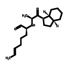 C/C=C/CCC[C@@H](C=O)N[C@@H](C)C(=O)N1CC[C@@H]2CCCC[C@@H]21